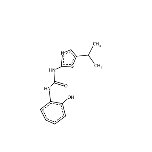 CC(C)c1cnc(NC(=O)Nc2ccccc2O)s1